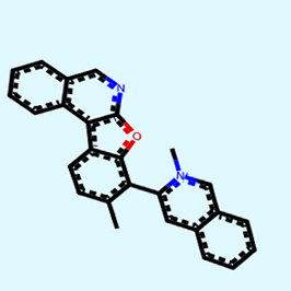 Cc1ccc2c(oc3ncc4ccccc4c32)c1-c1cc2ccccc2c[n+]1C